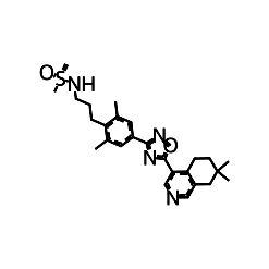 C=S(C)(=O)NCCCc1c(C)cc(-c2noc(-c3cncc4c3CCC(C)(C)C4)n2)cc1C